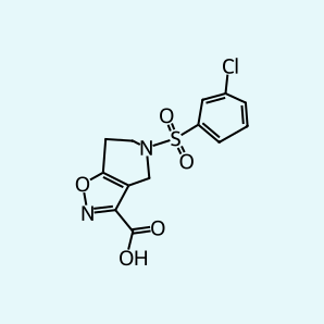 O=C(O)c1noc2c1CN(S(=O)(=O)c1cccc(Cl)c1)CC2